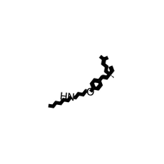 C=C[C@@](C)(/C=C/c1ccc(OCCCCNCCCCCC)cc1)CCC=C(C)C